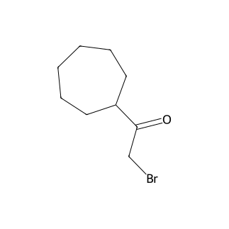 O=C(CBr)C1CCCCCC1